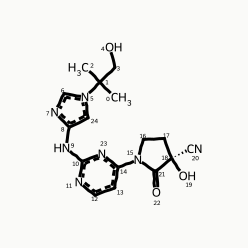 CC(C)(CO)n1cnc(Nc2nccc(N3CC[C@](O)(C#N)C3=O)n2)c1